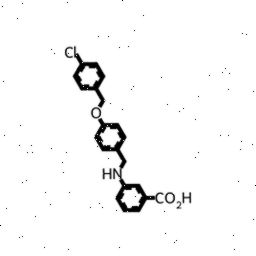 O=C(O)c1cccc(NCc2ccc(OCc3ccc(Cl)cc3)cc2)c1